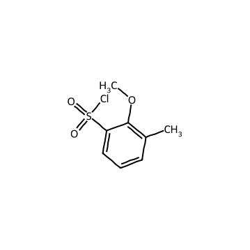 COc1c(C)cccc1S(=O)(=O)Cl